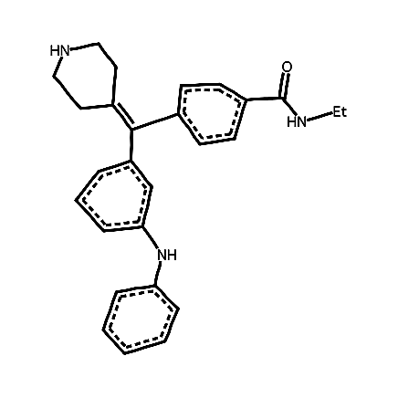 CCNC(=O)c1ccc(C(=C2CCNCC2)c2cccc(Nc3ccccc3)c2)cc1